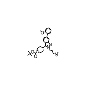 COc1ccccc1-c1ccc2c(C3CCN(C(=O)OC(C)(C)C)CC3)n(CCCN(C)C)nc2c1